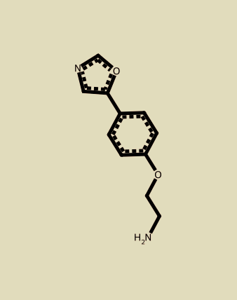 NCCOc1ccc(-c2cnco2)cc1